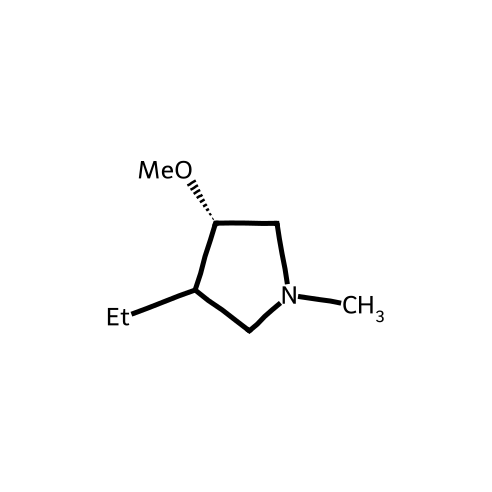 CCC1CN(C)C[C@H]1OC